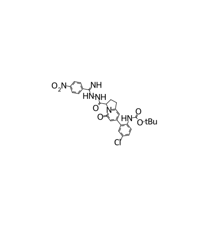 CC(C)(C)OC(=O)Nc1ccc(Cl)cc1-c1cc2n(c(=O)c1)C(C(=O)NNC(=N)c1ccc([N+](=O)[O-])cc1)CC2